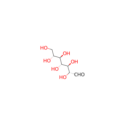 O=C[C@H](O)[C@H](O)[C@H](O)[C@H](O)[C@H](O)CO